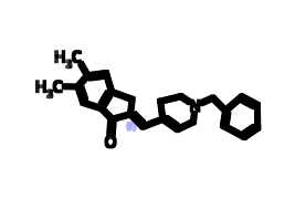 Cc1cc2c(cc1C)C(=O)/C(=C/C1=CCN(Cc3ccccc3)CC1)C2